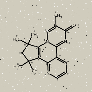 Cc1cn2c3c(c4ncccc4c2nc1=O)C(C)(C)CC3(C)C